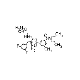 CCCN(CCC)C(=O)c1cc(C)cc(C(=O)O[C@H](CNCCS(N)(=O)=O)[C@@H](N)Cc2cc(F)cc(F)c2)c1